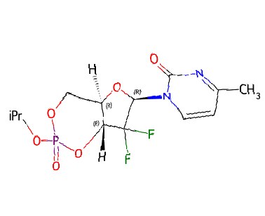 Cc1ccn([C@@H]2O[C@@H]3COP(=O)(OC(C)C)O[C@H]3C2(F)F)c(=O)n1